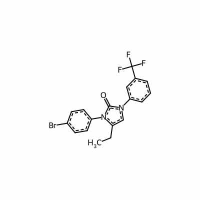 CCc1cn(-c2cccc(C(F)(F)F)c2)c(=O)n1-c1ccc(Br)cc1